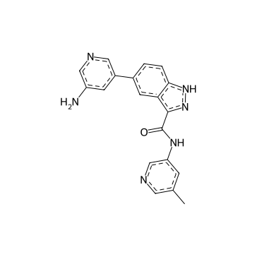 Cc1cncc(NC(=O)c2n[nH]c3ccc(-c4cncc(N)c4)cc23)c1